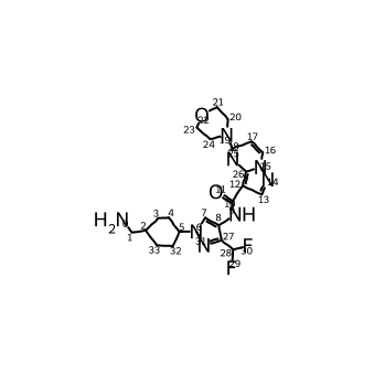 NCC1CCC(n2cc(NC(=O)c3cnn4ccc(N5CCOCC5)nc34)c(C(F)F)n2)CC1